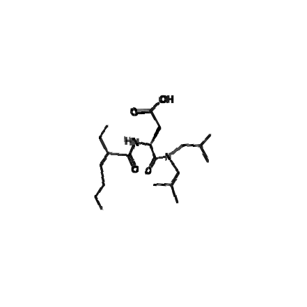 CCCCC(CC)C(=O)N[C@@H](CC(=O)O)C(=O)N(CC(C)C)CC(C)C